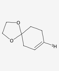 [2H]C1=CCC2(CC1)OCCO2